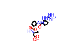 C#CC(CC(=O)O)NS(=O)(=O)c1cccc(NC(=O)c2cccc(NC(=N)N)c2)c1